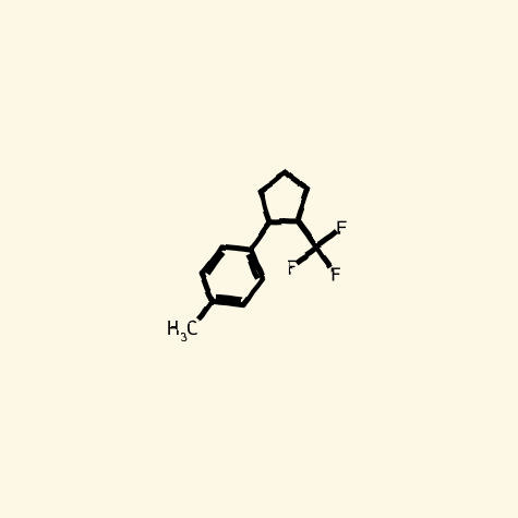 Cc1ccc(C2CCCC2C(F)(F)F)cc1